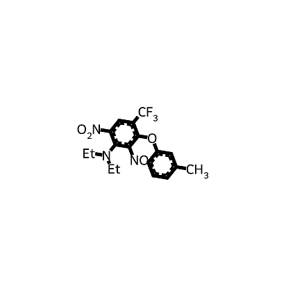 CCN(CC)c1c([N+](=O)[O-])cc(C(F)(F)F)c(Oc2cccc(C)c2)c1[N+](=O)[O-]